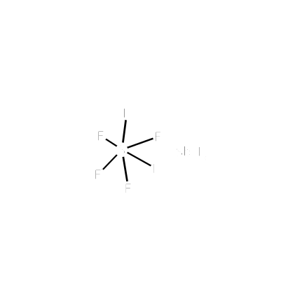 FS(F)(F)(F)(F)F.[SbH3]